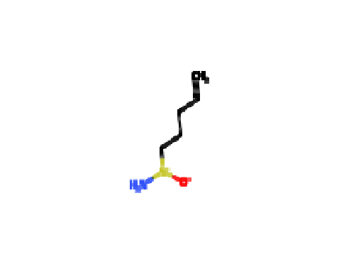 C=CCCC[S+](N)[O-]